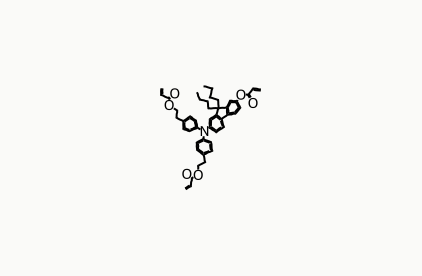 C=CC(=O)OCCc1ccc(N(c2ccc(CCOC(=O)C=C)cc2)c2ccc3c(c2)C(CCCC)(CCCC)c2cc(OC(=O)C=C)ccc2-3)cc1